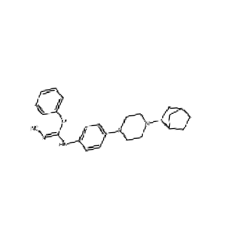 N#CN=C(Nc1ccc(N2CCN(C3CC4CCC3C4)CC2)cc1)Oc1ccccc1